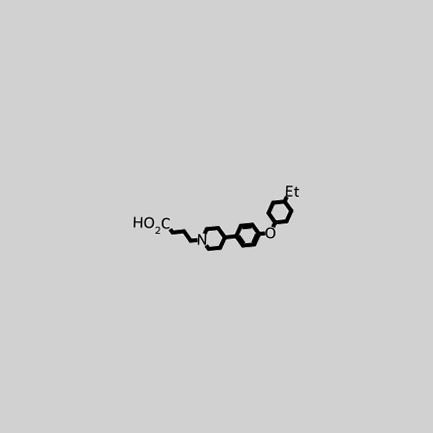 CCC1CCC(Oc2ccc(C3CCN(CCCC(=O)O)CC3)cc2)CC1